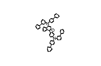 c1ccc(-c2ccc(N(c3cccc(-c4ccccc4)c3)c3ccc4c(c3)oc3cc(N(c5ccc(-c6ccccc6)cc5)c5cccc(-c6ccccc6)c5)c5ccccc5c34)cc2)cc1